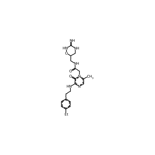 CCc1ccc(CCNc2ncc(C)n(CC(=O)NCC3CNC(=N)NO3)c2=O)cc1